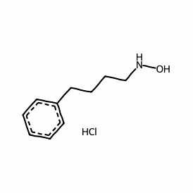 Cl.ONCCCCc1ccccc1